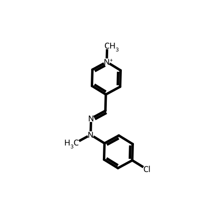 CN(N=Cc1cc[n+](C)cc1)c1ccc(Cl)cc1